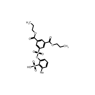 CCCOC(=O)c1cc(C(=O)OCCC)cc(S(=O)(=O)Oc2ccc[c]([Na])c2S(=O)(=O)O)c1